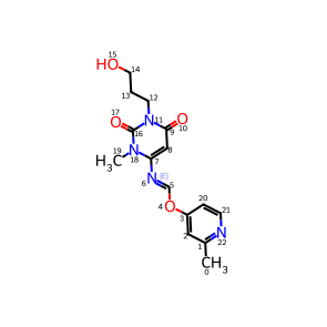 Cc1cc(O/C=N/c2cc(=O)n(CCCO)c(=O)n2C)ccn1